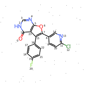 O=c1[nH]cnc2oc(-c3ccc(Cl)nc3)c(-c3ccc(F)cc3)c12